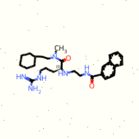 CN(CCC1CCCCC1)C(=O)[C@H](CCCNC(=N)N)NCCNC(=O)c1ccc2ccccc2c1